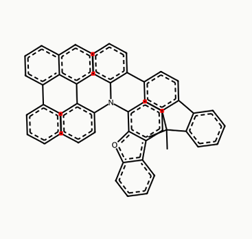 CC1(C)c2ccccc2-c2ccc(-c3ccccc3N(c3ccccc3-c3cccc4cccc(-c5ccccc5)c34)c3cccc4c3oc3ccccc34)cc21